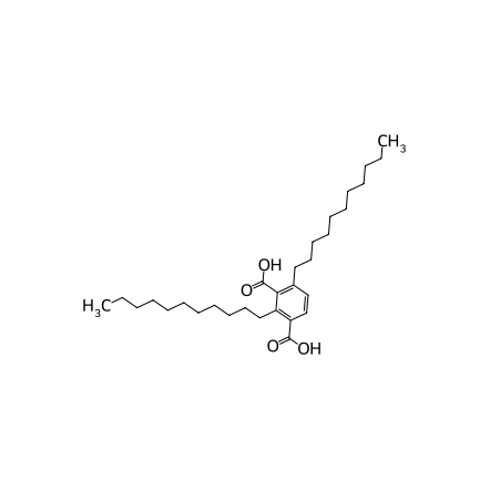 CCCCCCCCCCCc1ccc(C(=O)O)c(CCCCCCCCCCC)c1C(=O)O